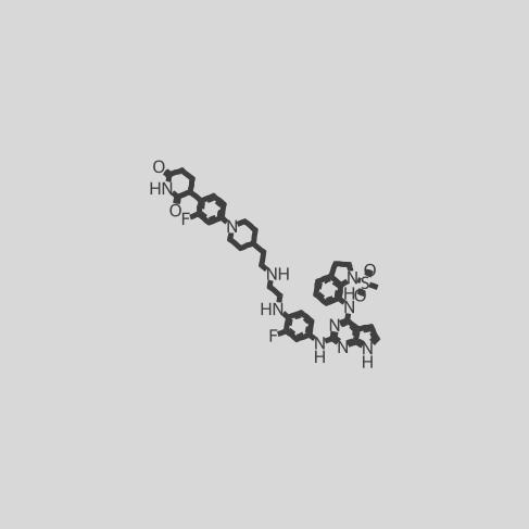 CS(=O)(=O)N1CCc2cccc(Nc3nc(Nc4ccc(NCCNCCC5CCN(c6ccc(C7CCC(=O)NC7=O)c(F)c6)CC5)c(F)c4)nc4[nH]ccc34)c21